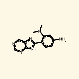 CN(C)c1cc(N)ccc1-c1nc2cncnc2[nH]1